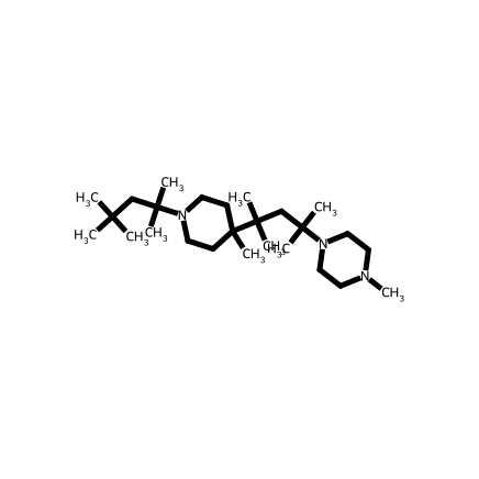 CN1CCN(C(C)(C)CC(C)(C)C2(C)CCN(C(C)(C)CC(C)(C)C)CC2)CC1